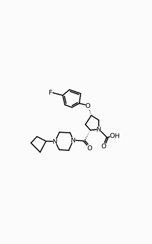 O=C([C@@H]1C[C@H](Oc2ccc(F)cc2)CN1C(=O)O)N1CCN(C2CCC2)CC1